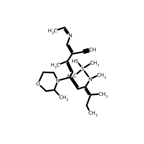 C#CC(=C\N=C/C)/C(C)=C/C(=C\C(=C(\C)CC)N(C)S(C)(C)S)N1CCOCC1C